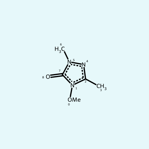 COn1c(C)nn(C)c1=O